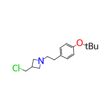 CC(C)(C)Oc1ccc(CCN2CC(CCl)C2)cc1